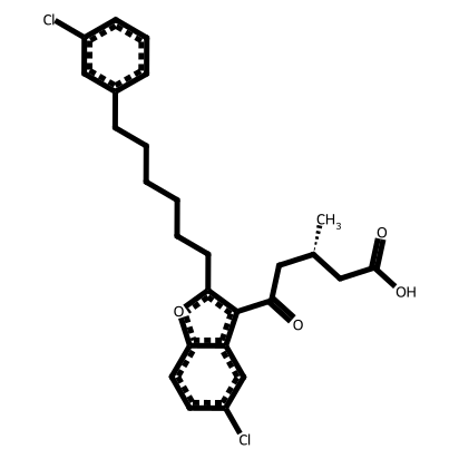 C[C@H](CC(=O)O)CC(=O)c1c(CCCCCCc2cccc(Cl)c2)oc2ccc(Cl)cc12